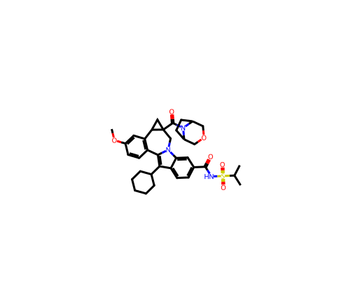 COc1ccc2c(c1)C1CC1(C(=O)N1C3CCC1COC3)Cn1c-2c(C2CCCCC2)c2ccc(C(=O)NS(=O)(=O)C(C)C)cc21